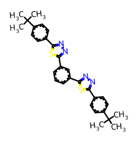 CC(C)(C)c1ccc(-c2nnc(-c3cccc(-c4nnc(-c5ccc(C(C)(C)C)cc5)s4)c3)s2)cc1